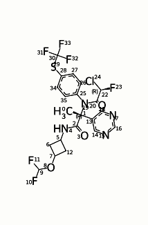 C[C@](C(=O)NC1CC(OC(F)F)C1)(c1cncnc1)N(C(=O)[C@H](F)Cl)c1ccc(SC(F)(F)F)cc1